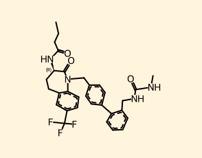 CCCC(=O)N[C@@H]1CCc2cc(C(F)(F)F)ccc2N(Cc2ccc(-c3ccccc3CNC(=O)NC)cc2)C1=O